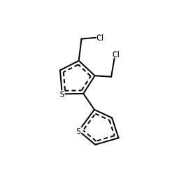 ClCc1csc(-c2cccs2)c1CCl